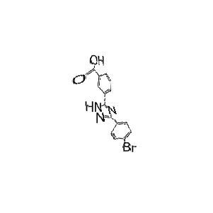 O=C(O)c1cccc(-c2nc(-c3ccc(Br)cc3)n[nH]2)c1